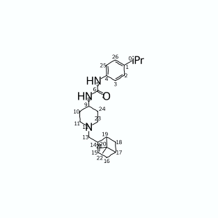 CC(C)c1ccc(NC(=O)NC2CCN(CC3=CCC4CC3C4(C)C)CC2)cc1